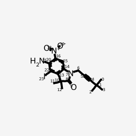 CC(C)(C)C#CCN1C(=O)C(C)(C)c2c1cc([N+](=O)[O-])c(N)c2I